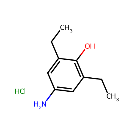 CCc1cc(N)cc(CC)c1O.Cl